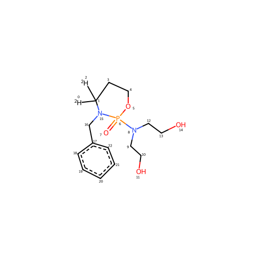 [2H]C1([2H])CCOP(=O)(N(CCO)CCO)N1Cc1ccccc1